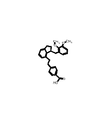 COc1cccc(CC2CCc3cccc(CCc4ccc(C(=O)O)cc4)c32)c1OC